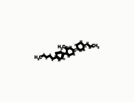 CCCCCc1ccc(C2CCC([C@H]3CC[C@H](CCC)CC3)CC2C)cc1